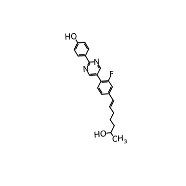 CC(O)CCCC=Cc1ccc(-c2cnc(-c3ccc(O)cc3)nc2)c(F)c1